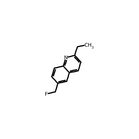 CCc1ccc2cc(CF)ccc2n1